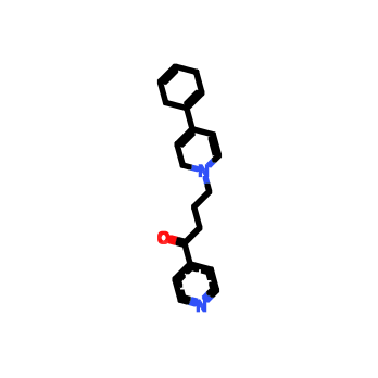 O=C(CCCN1C=CC(C2=CCC=CC2)=CC1)c1ccncc1